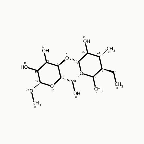 CC[C@H]1C(C)O[C@H](O[C@@H]2C(O)C(O)[C@@H](OC)O[C@H]2CO)C(O)[C@@H]1C